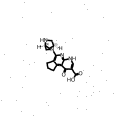 O=C(O)c1c[nH]c2nc(N3C[C@@H]4C[C@H]3CN4)c3c(c2c1=O)CCC3